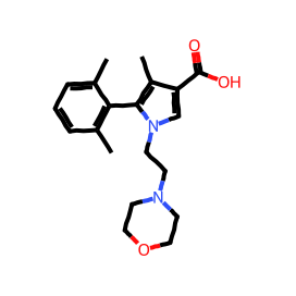 Cc1cccc(C)c1-c1c(C)c(C(=O)O)cn1CCN1CCOCC1